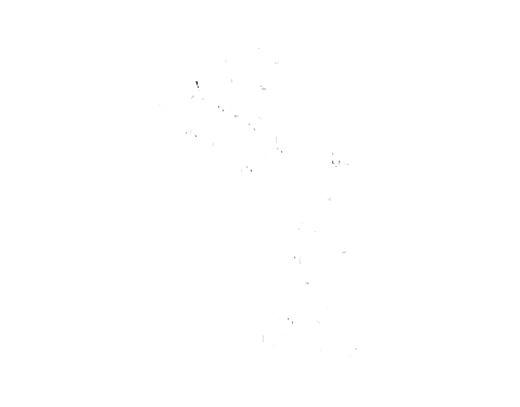 CC[C@@H]1C(=O)N(C)c2cnc(Nc3ccc(C(=O)NCCN(C)C(=O)OC(C)(C)C)cc3OC)nc2N1C1CCCC1